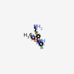 CN1CCC(OC(c2cccc(SCCCCN)c2)c2nc3cc(F)ccc3[nH]2)CC1